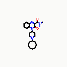 CNC(=O)c1nc2ccccc2n(C2CCN(C3CCCCCCC3)CC2)c1=O